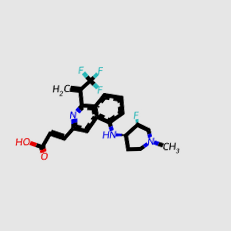 C=C(c1nc(/C=C/C(=O)O)cc2c(N[C@@H]3CCN(C)C[C@@H]3F)cccc12)C(F)(F)F